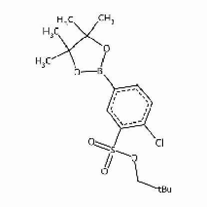 CC(C)(C)COS(=O)(=O)c1cc(B2OC(C)(C)C(C)(C)O2)ccc1Cl